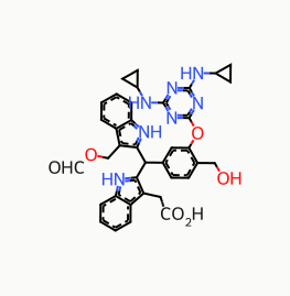 O=COCc1c(C(c2ccc(CO)c(Oc3nc(NC4CC4)nc(NC4CC4)n3)c2)c2[nH]c3ccccc3c2CC(=O)O)[nH]c2ccccc12